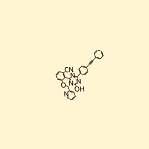 N#Cc1cccc(OCc2ccccn2)c1-c1nc(O)nc(-c2ccc(C#Cc3ccccc3)cc2)n1